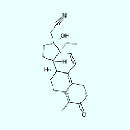 CC[C@]12C=CC3=C4CCC(=O)C(C)=C4CC[C@H]3[C@@H]1CC[C@@]2(O)CC#N